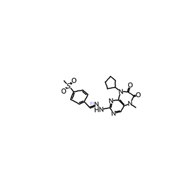 Cn1c(=O)c(=O)n(C2CCCC2)c2nc(N/N=C/c3ccc(S(C)(=O)=O)cc3)ncc21